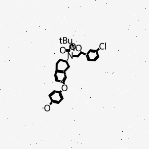 CC(C)(C)OC(=O)N(C[C@H](O)c1cccc(Cl)c1)[C@H]1CCc2ccc(Oc3ccc([O])cc3)cc2C1